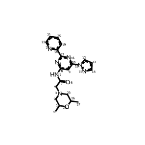 CC1CN(CC(=O)Nc2cc(-n3cccn3)nc(-c3ccccn3)n2)CC(C)O1